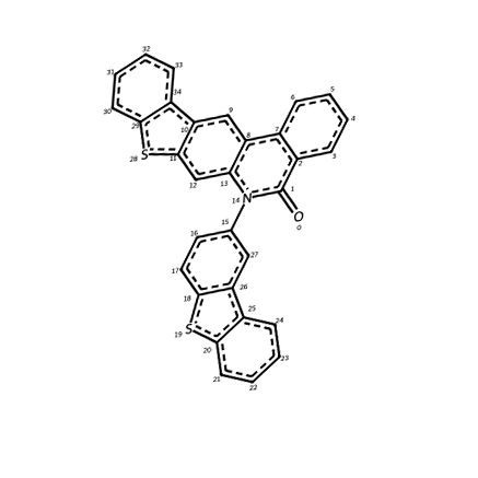 O=c1c2ccccc2c2cc3c(cc2n1-c1ccc2sc4ccccc4c2c1)sc1ccccc13